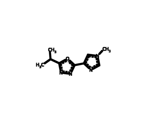 CC(C)c1nnc(-c2cn(C)cn2)o1